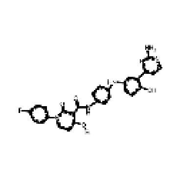 CCOc1ccn(-c2ccc(F)cc2)c(=O)c1C(=O)Nc1ccc(Nc2ccc(O)c(-c3ccnc(N)n3)c2)cc1